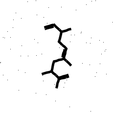 C=CC(C)CC=C(C)CC(C)C(=C)C